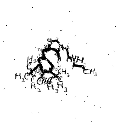 CCCNCCN1CSC(=Cc2cc(C(C)(C)C)c(O)c(C(C)(C)C)c2)C1=O